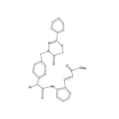 COC(=O)/C=C/c1ccccc1NC(=O)C(c1ccc(CN2N=C(c3ccccc3)OCC2=O)cc1)C(C)C